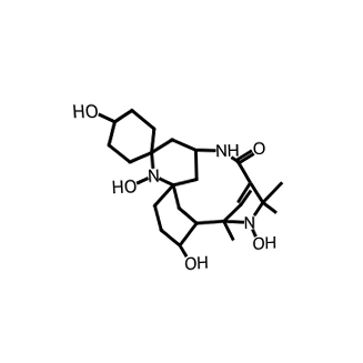 CC1(C)C2=CC(C)(C3CC4(CCC3O)CC(CC3(CCC(O)CC3)N4O)NC2=O)N1O